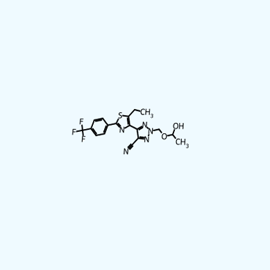 CCc1sc(-c2ccc(C(F)(F)F)cc2)nc1-c1nn(COC(C)O)nc1C#N